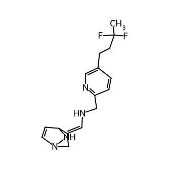 CC(F)(F)CCc1ccc(CN/C=C2/CN3C=CC2N3)nc1